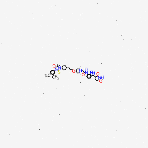 C[C@@H]1CC(OCCC[C@H]2CC[C@H](N3C(=S)N(c4ccc(C#N)c(C(F)(F)F)c4)C(=O)C3(C)C)CC2)C[C@H](C)N1CC(=O)Nc1cccc2c(C3CCC(=O)NC3=O)nn(C)c12